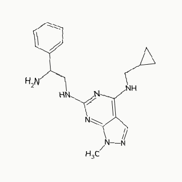 Cn1ncc2c(NCC3CC3)nc(NCC(N)c3ccccc3)nc21